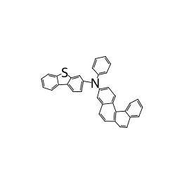 c1ccc(N(c2ccc3c(ccc4ccc5ccccc5c43)c2)c2ccc3c(c2)sc2ccccc23)cc1